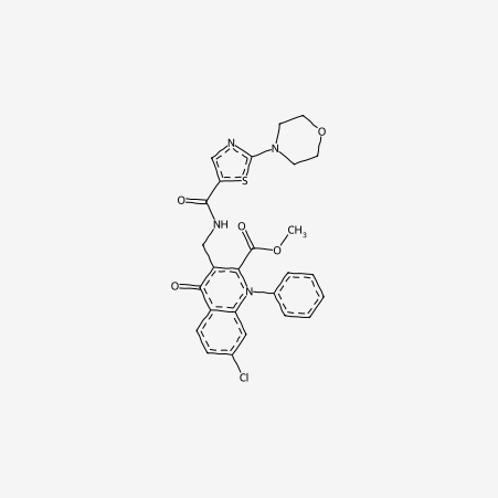 COC(=O)c1c(CNC(=O)c2cnc(N3CCOCC3)s2)c(=O)c2ccc(Cl)cc2n1-c1ccccc1